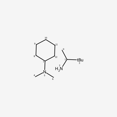 CC(N)C(C)(C)C.CN(C)C1CCCCC1